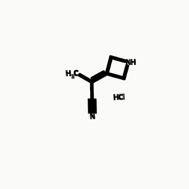 CC(C#N)=C1CNC1.Cl